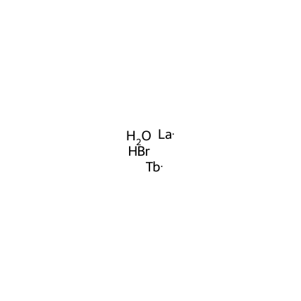 Br.O.[La].[Tb]